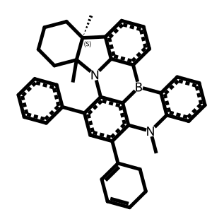 CN1c2ccccc2B2c3cccc4c3N(c3c(-c5ccccc5)cc(C5=CC=CCC5)c1c32)C1(C)CCCC[C@@]41C